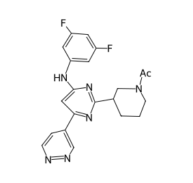 CC(=O)N1CCCC(c2nc(Nc3cc(F)cc(F)c3)cc(-c3ccnnc3)n2)C1